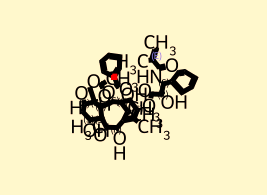 C/C=C(\C)C(=O)N[C@@H](c1ccccc1)[C@@H](O)C(=O)O[C@H]1C[C@@]2(O)[C@@H](OC(=O)c3ccccc3)[C@@H]3[C@]4(OC(C)=O)CO[C@@H]4C[C@H](O)[C@@]3(C)C(=O)[C@H](O)C(=C1C)C2(C)C